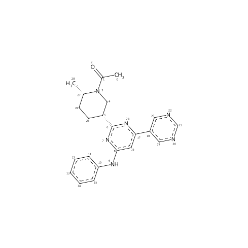 CC(=O)N1C[C@H](c2nc(Nc3ccccc3)cc(-c3cncnc3)n2)CC[C@@H]1C